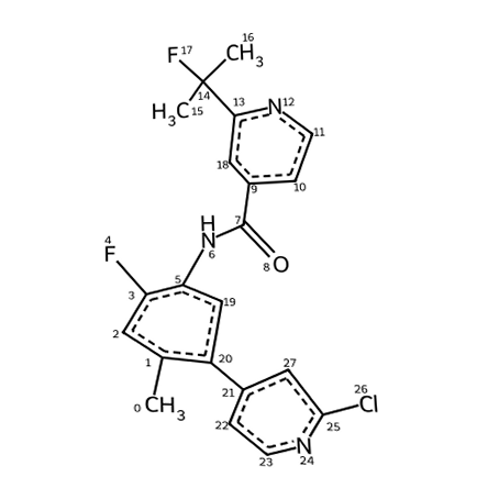 Cc1cc(F)c(NC(=O)c2ccnc(C(C)(C)F)c2)cc1-c1ccnc(Cl)c1